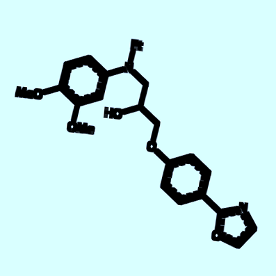 CCN(CC(O)COc1ccc(-c2ncco2)cc1)c1ccc(OC)c(OC)c1